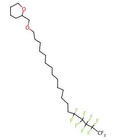 FC(F)(F)C(F)(F)C(F)(F)C(F)(F)C(F)(F)CCCCCCCCCCCCCCOCC1CCCCO1